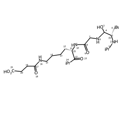 CCC(C)[C@H](NC(C)C)C(O)NCC(=O)N[C@@H](CCCCNC(=O)CCC(=O)O)C(=O)C(C)C